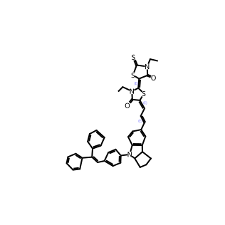 CCN1C(=O)/C(=c2\s/c(=C/C=C/c3ccc4c(c3)C3CCCC3N4c3ccc(C=C(c4ccccc4)c4ccccc4)cc3)c(=O)n2CC)SC1=S